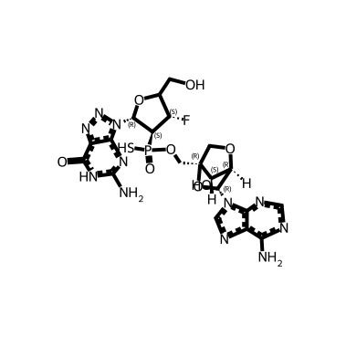 Nc1nc2c(nnn2[C@@H]2OC(CO)[C@H](F)[C@H]2P(=O)(S)OC[C@@]23CO[C@@H]([C@H](n4cnc5c(N)ncnc54)O2)[C@@H]3O)c(=O)[nH]1